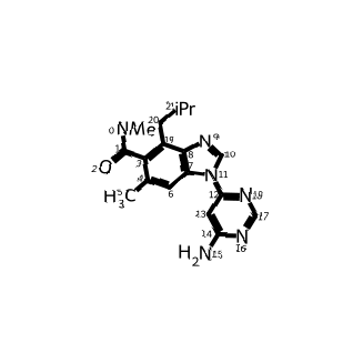 CNC(=O)c1c(C)cc2c(ncn2-c2cc(N)ncn2)c1CC(C)C